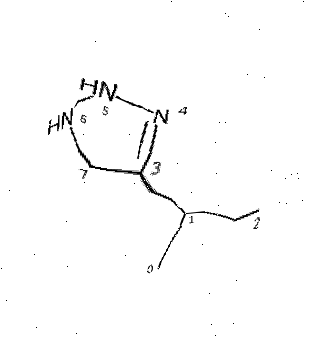 CC(C)C1=NNNC1